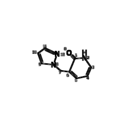 O=c1[nH]cccc1Cn1cccn1